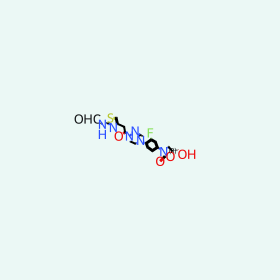 O=CNc1nc(CC(=O)N2CCN(c3ccc(N4C[C@H](CO)OC4=O)cc3F)C=N2)cs1